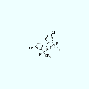 O=C(c1ccc(Cl)cc1C(F)(F)C(F)(F)F)c1ccc(Cl)cc1C(F)(F)C(F)(F)F